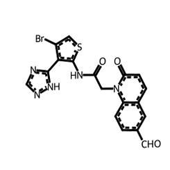 O=Cc1ccc2c(ccc(=O)n2CC(=O)Nc2scc(Br)c2-c2ncn[nH]2)c1